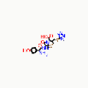 Cn1nnnc1SCC1=C(C(=O)O)N2C(=O)C(NC(=O)C(N)c3ccc(O)cc3)[C@@H]2SC1